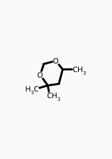 CC1CC(C)(C)O[CH]O1